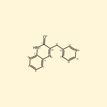 O=c1[nH]c2ncccc2nc1Cc1cccnc1